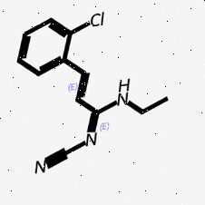 CCNC(/C=C/c1ccccc1Cl)=N/C#N